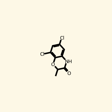 CC1Oc2c(Cl)cc(Cl)cc2NC1=O